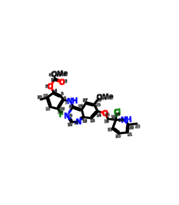 COC(=O)Oc1cc(Nc2ncnc3cc(OCC4(Cl)C=CC=C(C)N4)c(OC)cc23)c(F)cc1C